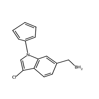 BCc1ccc2c(Cl)cn(-c3ccccc3)c2c1